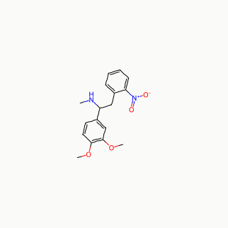 CNC(Cc1ccccc1[N+](=O)[O-])c1ccc(OC)c(OC)c1